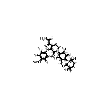 [2H]c1c([2H])c(-n2nc(C(N)=O)c3c2C(=O)N(c2c([2H])c([2H])c(N4C(=O)C([2H])([2H])CCC4([2H])[2H])c([2H])c2[2H])CC3)c([2H])c([2H])c1OC